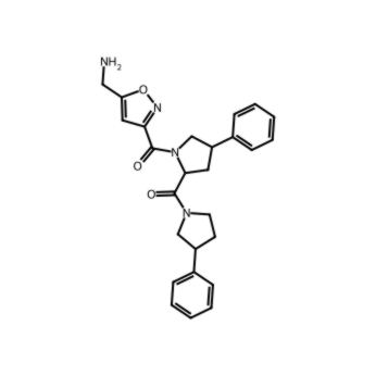 NCc1cc(C(=O)N2CC(c3ccccc3)CC2C(=O)N2CCC(c3ccccc3)C2)no1